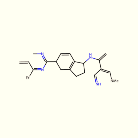 C=C/C(CC)=N\C(=N/C)C1C=CC2=C(CCC2NC(=C)/C(C=N)=C/NC)C1